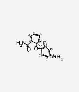 NC(=O)c1cccnc1Oc1ccc(N)cc1F